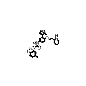 Cc1ccc(F)c(NC(=O)Nc2ccc(OCCC3CCCCN3)c(-c3ccnn3C)c2)c1